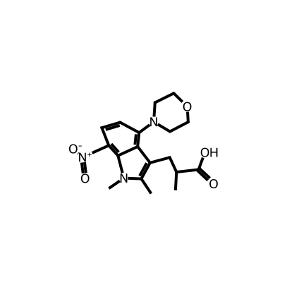 Cc1c(CC(C)C(=O)O)c2c(N3CCOCC3)ccc([N+](=O)[O-])c2n1C